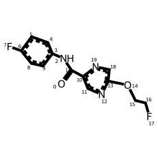 O=C(Nc1ccc(F)cc1)c1cnc(OCCF)cn1